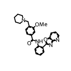 COc1cc(C(=O)Nc2ccccc2-c2nc3ncccc3o2)ccc1CN1CCCCC1